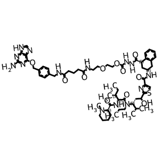 CCCN(C(=O)[C@@H](NC(=O)[C@H]1CCCCN1C)[C@@H](C)CC)[C@H](CC(O)c1nc(C(=O)N[C@H]2Cc3ccccc3[C@H](C(=O)NNC(=O)OCCOCCNC(=O)CCCC(=O)NCc3ccc(COc4nc(N)nc5[nH]cnc45)cc3)C2)cs1)C(C)C